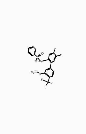 COc1cc(-c2cc(F)c(F)cc2NS(=O)(=O)c2ccccc2)ccc1C(F)(F)F